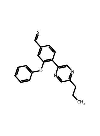 CCCc1cnc(-c2ccc(C=S)cc2Oc2ccccc2)cn1